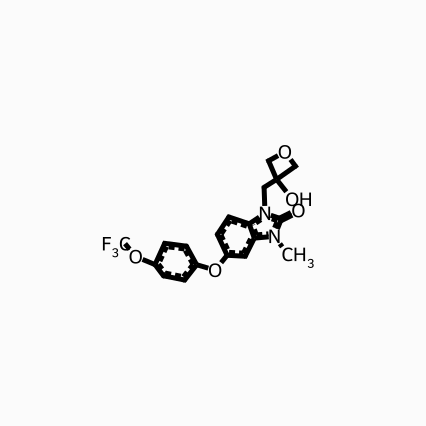 Cn1c(=O)n(CC2(O)COC2)c2ccc(Oc3ccc(OC(F)(F)F)cc3)cc21